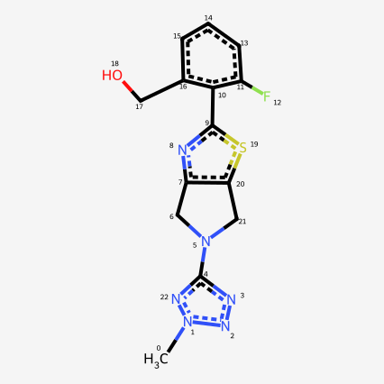 Cn1nnc(N2Cc3nc(-c4c(F)cccc4CO)sc3C2)n1